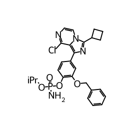 CC(C)OP(N)(=O)Oc1ccc(-c2nc(C3CCC3)n3ccnc(Cl)c23)cc1OCc1ccccc1